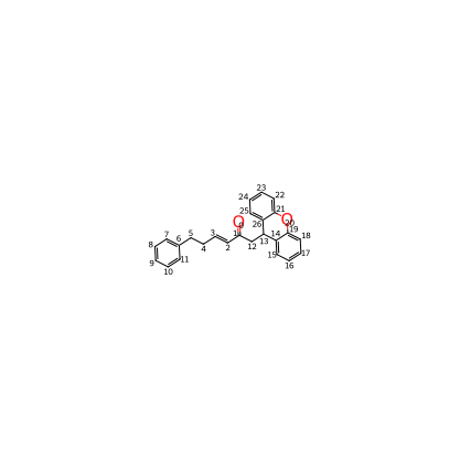 O=C(C=CCCc1ccccc1)CC1c2ccccc2Oc2ccccc21